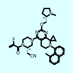 C=C(F)C(=O)N1CCN(c2nc(OC[C@@H]3CCCN3C)nc3c2CCN(c2cccc4cccc(C)c24)C32CC2)C[C@@H]1CC#N